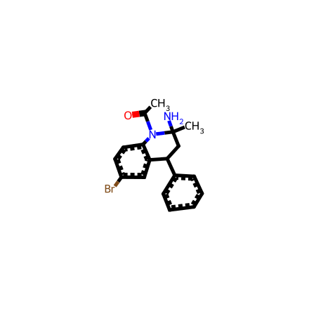 CC(=O)N1c2ccc(Br)cc2C(c2ccccc2)CC1(C)N